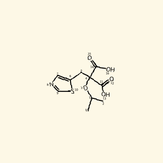 CC(C)OC(Cc1cncs1)(C(=O)O)C(=O)O